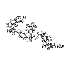 COC(=O)N[C@H](C(=O)N1CCC[C@H]1c1nc(-c2ccc(-c3ccc(-c4ccc(-c5c[nH]c([C@@H]6CCCN6C(=O)[C@H](C(C)C)N(C)C(=O)O)n5)cc4)n3-c3ccc(S(C)(=O)=O)cc3)cc2)c[nH]1)C(C)C